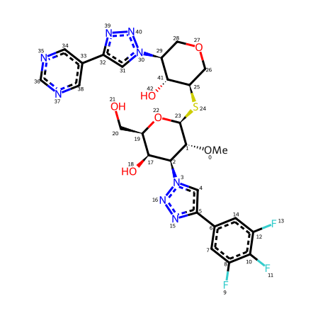 CO[C@@H]1[C@@H](n2cc(-c3cc(F)c(F)c(F)c3)nn2)[C@@H](O)[C@@H](CO)O[C@H]1S[C@@H]1COC[C@H](n2cc(-c3cncnc3)nn2)[C@H]1O